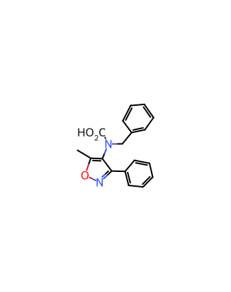 Cc1onc(-c2ccccc2)c1N(Cc1ccccc1)C(=O)O